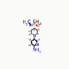 CN=S(C)(=O)C1CCN(c2ccc(N)nc2)CC1